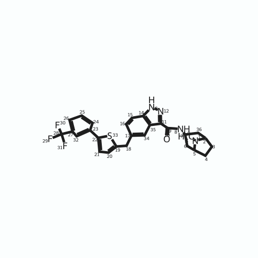 CN1C2CCC1CC(NC(=O)c1n[nH]c3ccc(Cc4ccc(-c5cccc(C(F)(F)F)c5)s4)cc13)C2